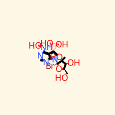 CC1(O)[C@H](O)[C@@H](CO)O[C@@]1(Br)n1cc(B(O)O)c2c(NO)ncnc21